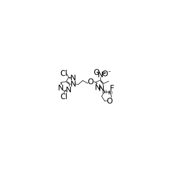 Cc1c([N+](=O)[O-])c(OCCCn2nc(Cl)c3cnc(Cl)nc32)nn1[C@H]1CCOC[C@@H]1F